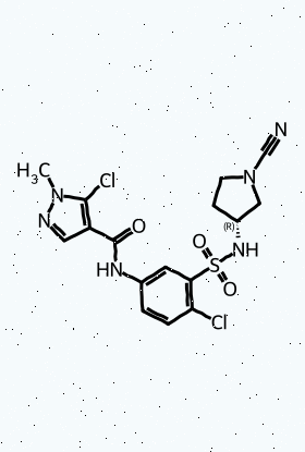 Cn1ncc(C(=O)Nc2ccc(Cl)c(S(=O)(=O)N[C@@H]3CCN(C#N)C3)c2)c1Cl